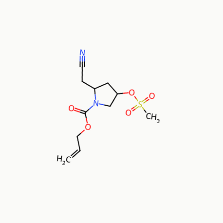 C=CCOC(=O)N1CC(OS(C)(=O)=O)CC1CC#N